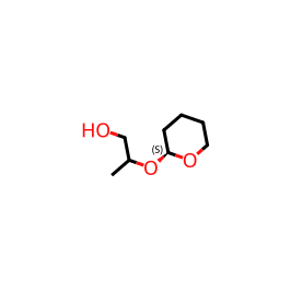 CC(CO)O[C@H]1CCCCO1